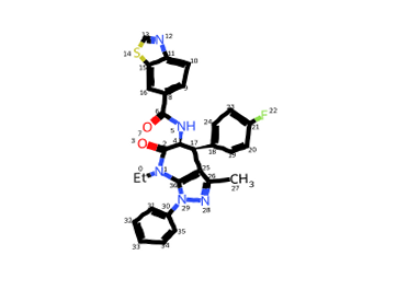 CCN1C(=O)[C@@H](NC(=O)c2ccc3ncsc3c2)[C@@H](c2ccc(F)cc2)c2c(C)nn(-c3ccccc3)c21